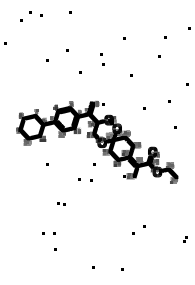 C=C(c1ccc(C2CCCCC2)cc1)C1COC2(CCC(=C(C)C(=O)OCC)CC2)OO1